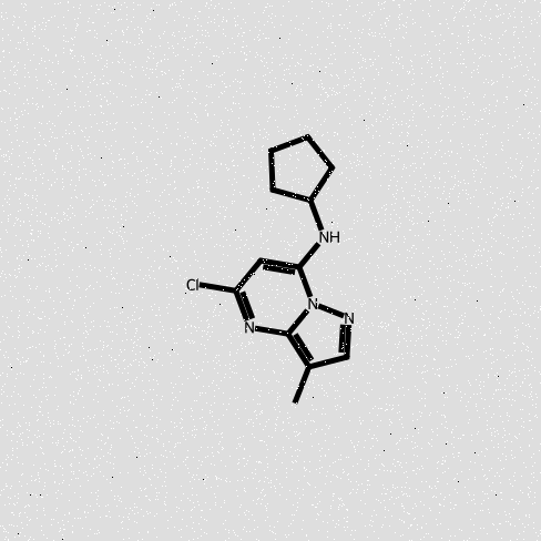 Cc1cnn2c(NC3CCCC3)cc(Cl)nc12